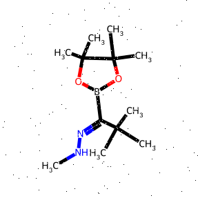 CN/N=C(/B1OC(C)(C)C(C)(C)O1)C(C)(C)C